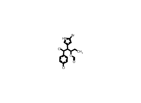 CCC(OC=O)C(c1c[nH]c(Br)c1)C(Cl)c1ccc(Cl)cc1